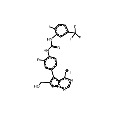 Nc1ncnn2cc(CO)c(-c3ccc(NC(=O)Nc4cc(C(F)(F)F)ccc4I)c(F)c3)c12